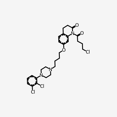 O=C(CCCCl)N1C(=O)CCc2ccc(OCCCCN3CCN(c4cccc(Cl)c4Cl)CC3)cc21